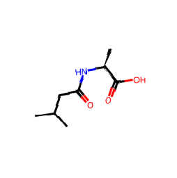 CC(C)CC(=O)N[C@@H](C)C(=O)O